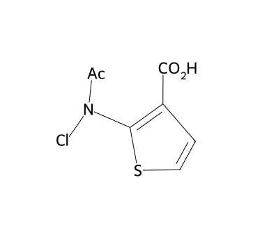 CC(=O)N(Cl)c1sccc1C(=O)O